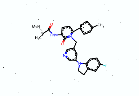 CN[C@@H](C)C(=O)Nc1ccc(-c2ccc(C)cc2)n(Cc2cncc(N3CCc4cc(F)ccc43)c2)c1=O